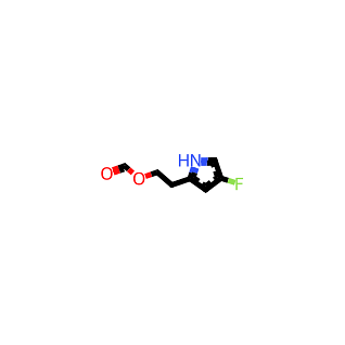 O=COCCc1cc(F)c[nH]1